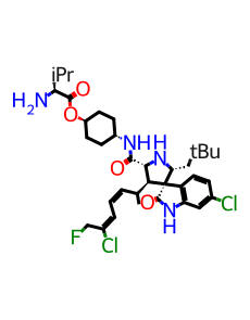 CC(C)[C@H](N)C(=O)O[C@H]1CC[C@H](NC(=O)[C@@H]2N[C@H](CC(C)(C)C)[C@]3(C(=O)Nc4cc(Cl)ccc43)[C@H]2C(C)/C=C\C=C(\Cl)CF)CC1